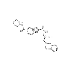 C=C(NC[C@H](O)CN1CCc2ccccc2C1)c1cn2cc(C(=O)NC3CCCCC3)ccc2n1